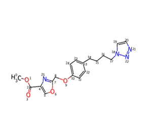 COC(=O)c1coc(COc2ccc(CCCCn3ccnn3)cc2)n1